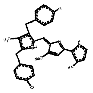 COC1=CC(c2[nH]ccc2C)=NC1=Cc1[nH]c(Cc2ccc(Cl)cc2)c(C)c1Cc1ccc(Cl)cc1